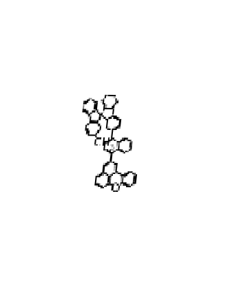 CC1C=CC2=C(C1)C1(c3ccccc32)c2ccccc2-c2ccc(-c3ccc(-c4cc5c6c(cccc6c4)Oc4ccccc4-5)c4ccccc34)cc21